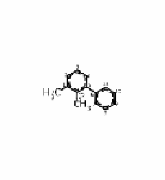 Cc1cccc(-c2c[c]ccc2)c1C